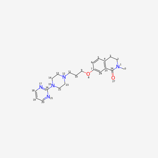 CN1CCc2ccc(OCCCN3CCN(c4ncccn4)CC3)cc2C1=O